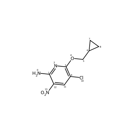 Nc1nc(OCC2CC2)c(Cl)cc1[N+](=O)[O-]